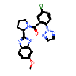 COc1ccc2nc(C3CCCN3C(=O)c3cc(Cl)ccc3-n3nccn3)[nH]c2c1